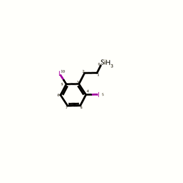 [SiH3]CCc1c(I)cccc1I